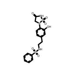 O=C1CN(c2ccc(CCNS(=O)(=O)c3ccccc3)cc2O)S(=O)(=O)N1